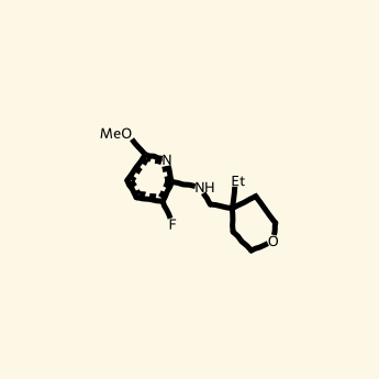 CCC1(CNc2nc(OC)ccc2F)CCOCC1